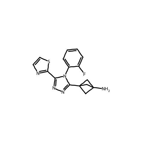 NC12CC(c3nnc(-c4nccs4)n3-c3ccccc3F)(C1)C2